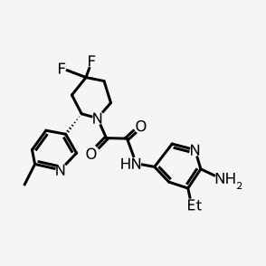 CCc1cc(NC(=O)C(=O)N2CCC(F)(F)C[C@H]2c2ccc(C)nc2)cnc1N